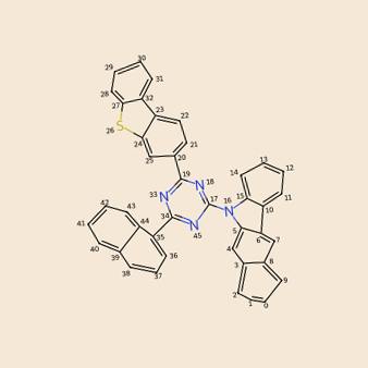 c1ccc2cc3c(cc2c1)c1ccccc1n3-c1nc(-c2ccc3c(c2)sc2ccccc23)nc(-c2cccc3ccccc23)n1